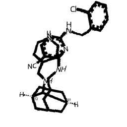 N#Cc1cnc(NCc2ccccc2Cl)nc1NCC12CC3C[C@H](C1)C(NCC1CCNCC1)[C@@H](C3)C2